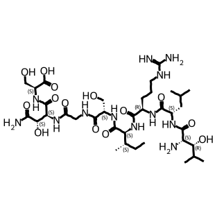 CC[C@H](C)[C@H](NC(=O)[C@@H](CCCNC(=N)N)NC(=O)[C@H](CC(C)C)NC(=O)[C@@H](N)[C@H](O)C(C)C)C(=O)N[C@@H](CO)C(=O)NCC(=O)N[C@H](C(=O)N[C@@H](CO)C(=O)O)[C@H](O)C(N)=O